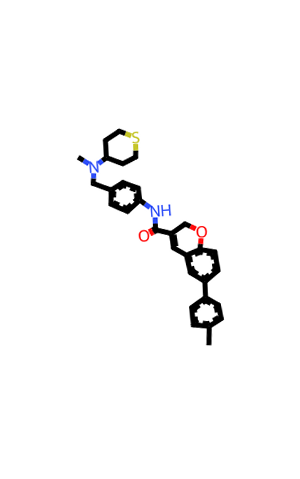 Cc1ccc(-c2ccc3c(c2)C=C(C(=O)Nc2ccc(CN(C)C4CCSCC4)cc2)CO3)cc1